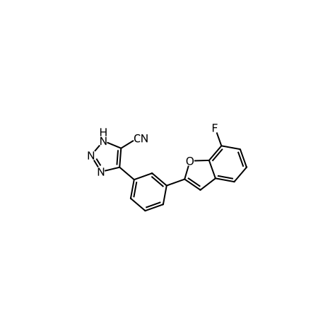 N#Cc1[nH]nnc1-c1cccc(-c2cc3cccc(F)c3o2)c1